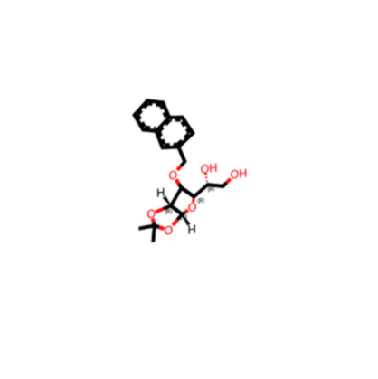 CC1(C)O[C@H]2O[C@H]([C@H](O)CO)C(OCc3ccc4ccccc4c3)[C@H]2O1